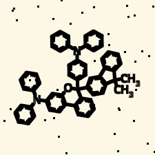 CC1(C)c2ccccc2-c2cc(C3(c4ccc(N(c5ccccc5)c5ccccc5)cc4)Oc4cc(N(c5ccccc5)c5ccccc5)ccc4-c4ccccc43)ccc21